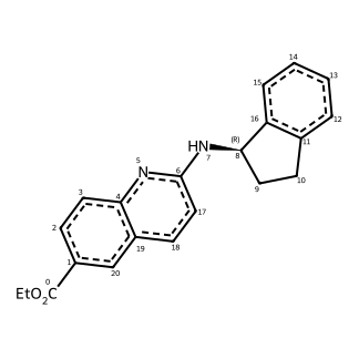 CCOC(=O)c1ccc2nc(N[C@@H]3CCc4ccccc43)ccc2c1